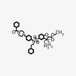 CCOC(=O)C1Oc2ccc(S(=O)(=O)N(CCc3ccccc3)c3ccc(N4CCN(C(=O)c5ccccc5)CC4)cc3)cc2C1(C)C